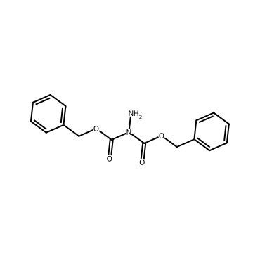 NN(C(=O)OCc1ccccc1)C(=O)OCc1ccccc1